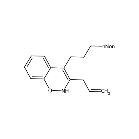 C=CCC1=C(CCCCCCCCCCCC)c2ccccc2ON1